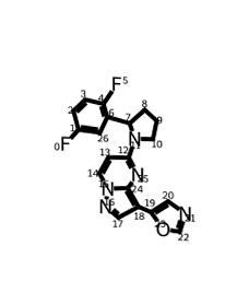 Fc1ccc(F)c(C2CCCN2c2ccn3ncc(-c4cnco4)c3n2)c1